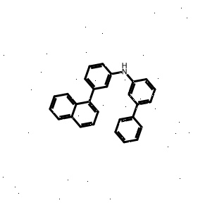 c1ccc(-c2cccc(Nc3cccc(-c4cccc5ccccc45)c3)c2)cc1